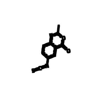 Cc1nc2ccc(N=C=S)cc2c(=O)o1